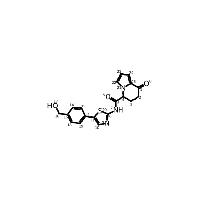 O=C1CCC(C(=O)Nc2ncc(-c3ccc(CO)cc3)s2)n2cccc21